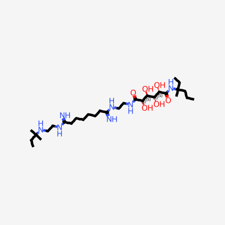 CCCC(C)(CC)NC(=O)[C@@H](O)[C@H](O)[C@H](O)[C@@H](O)C(=O)NCCNC(=N)CCCCCCC(=N)NCCNC(C)(C)CC